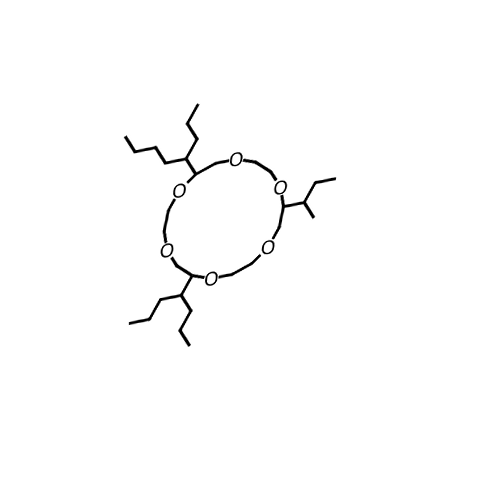 CCCCC(CCC)C1COCCOC(C(C)CC)COCCOC(C(CCC)CCC)COCCO1